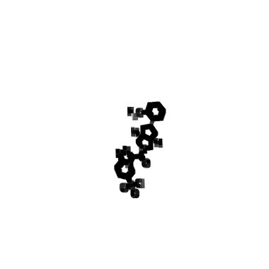 O=C(c1nnc2ccc(S(=O)(=O)Cl)cn12)N1C[C@H]2C[C@H](c3ccccc3C(F)(F)F)C[C@H]2C1